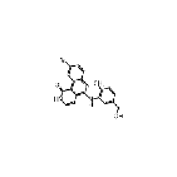 Cc1ccc(CO)cc1Nc1nc2ccc(Br)cc2c2c(=O)[nH]ccc12